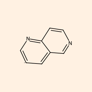 [c]1cnc2ccncc2c1